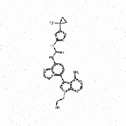 Nc1ncnc2c1c(-c1ccc(NC(=O)Nc3cc(C4(C(F)(F)F)CC4)on3)c3nccn13)cn2CCO